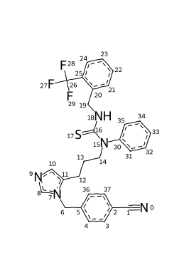 N#Cc1ccc(Cn2cncc2CCCN(C(=S)NCc2ccccc2C(F)(F)F)c2ccccc2)cc1